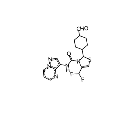 O=CC1CCC(C2SC=C(C(F)F)N2C(=O)Nc2cnn3cccnc23)CC1